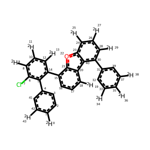 [2H]c1ccc(-c2c(Cl)c([2H])c([2H])c([2H])c2-c2ccc([2H])c3c2oc2c([2H])c([2H])c([2H])c(-c4cc([2H])c([2H])c([2H])c4)c23)cc1[2H]